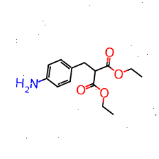 CCOC(=O)C(Cc1ccc(N)cc1)C(=O)OCC